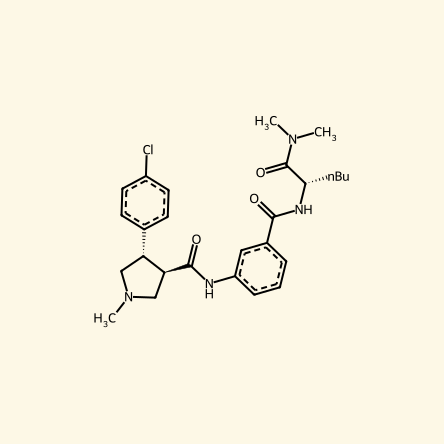 CCCC[C@H](NC(=O)c1cccc(NC(=O)[C@H]2CN(C)C[C@@H]2c2ccc(Cl)cc2)c1)C(=O)N(C)C